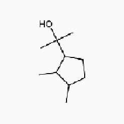 CC1CCC(C(C)(C)O)C1C